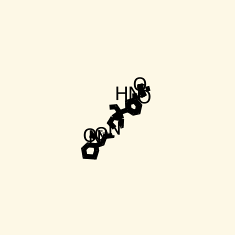 CCC1(c2cccc(NS(C)(=O)=O)c2)C2CN(CCCC3([N+](=O)[O-])CCCCC3)CC21